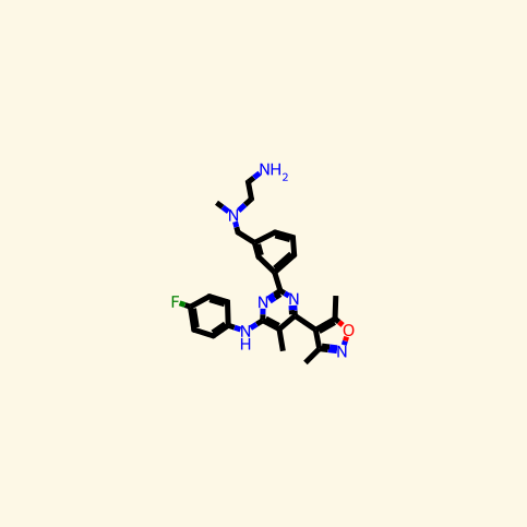 Cc1noc(C)c1-c1nc(-c2cccc(CN(C)CCN)c2)nc(Nc2ccc(F)cc2)c1C